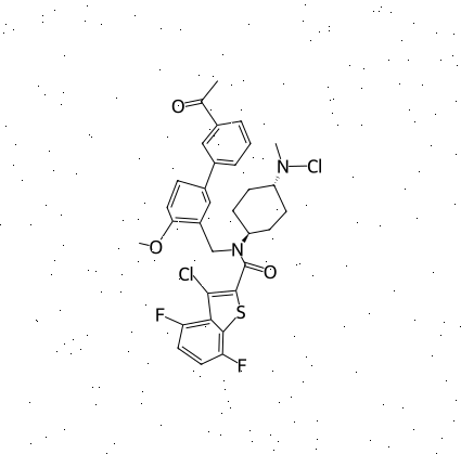 COc1ccc(-c2cccc(C(C)=O)c2)cc1CN(C(=O)c1sc2c(F)ccc(F)c2c1Cl)[C@H]1CC[C@H](N(C)Cl)CC1